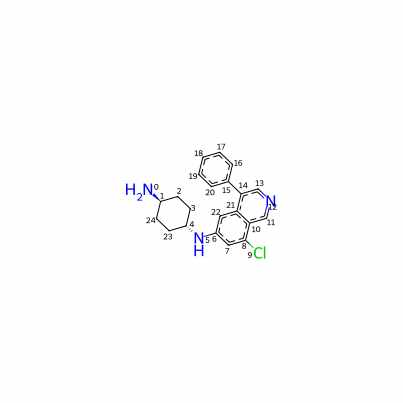 N[C@H]1CC[C@H](Nc2cc(Cl)c3cncc(-c4ccccc4)c3c2)CC1